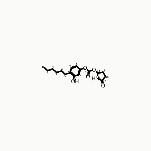 CCCCCCc1ccc(OC(=O)OC2CCC(=O)N2)cc1O